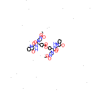 CCOC(=O)N1CCN(C(=O)C(NC(=O)c2cc(OC)c3ccccc3n2)c2ccc(OC(=O)c3ccc(C(NC(=O)c4cc(OC)c5ccccc5n4)C(=O)N4CCN(C(=O)OCC)CC4)cc3)cc2)CC1